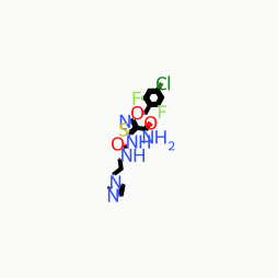 NC(=O)c1c(OCc2c(F)cc(Cl)cc2F)nsc1NC(=O)NCCCn1ccnc1